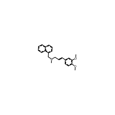 COc1ccc(C=CCN(C)Cc2cccc3ccccc23)cc1OC